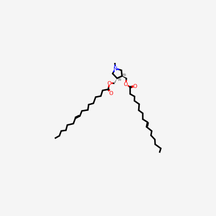 CCCCCCC=CCCCCCCCC(=O)OC[C@@H]1CN(C)C[C@H]1COC(=O)CCCCCCCC=CCCCCCC